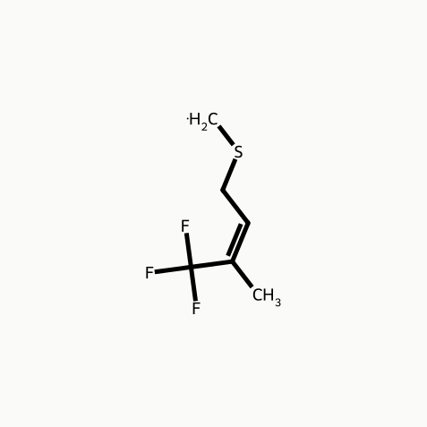 [CH2]SCC=C(C)C(F)(F)F